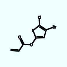 C=CC(=O)Oc1cc(Br)c(Cl)s1